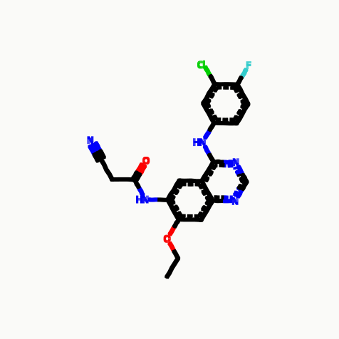 CCOc1cc2ncnc(Nc3ccc(F)c(Cl)c3)c2cc1NC(=O)CC#N